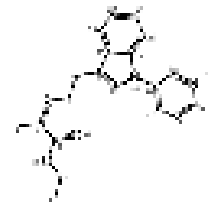 CCOC(=O)/C(C)=C\CCc1cn(-c2cccnc2)c2ccccc12